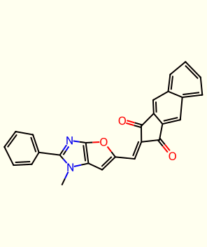 Cn1c(-c2ccccc2)nc2oc(C=C3C(=O)c4cc5ccccc5cc4C3=O)cc21